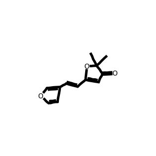 CC1(C)OC(C=Cc2ccoc2)=CC1=O